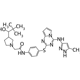 Cc1cc(Nc2nc(Sc3ccc(NC(=O)CN4CCC(C(O)C(C)(C)C)C4)cc3)nc3cccn23)n[nH]1